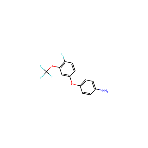 Nc1ccc(Oc2ccc(F)c(OC(F)(F)F)c2)cc1